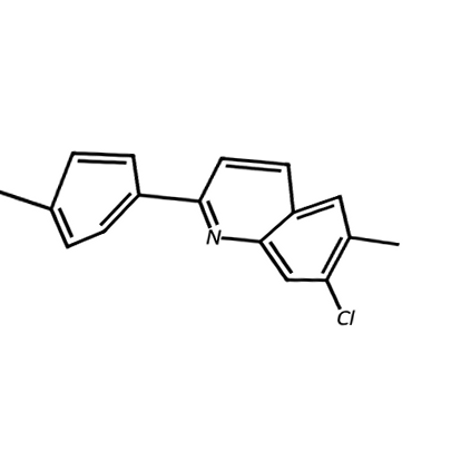 Cc1cc2ccc(-c3ccc(Cl)cc3)nc2cc1Cl